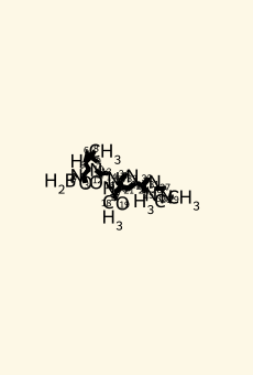 BNC(=O)C1C2CC2(C)CN1C(=O)Cn1nc(C(C)=O)c2cc(-c3cnc(CN(C)C)nc3)ncc21